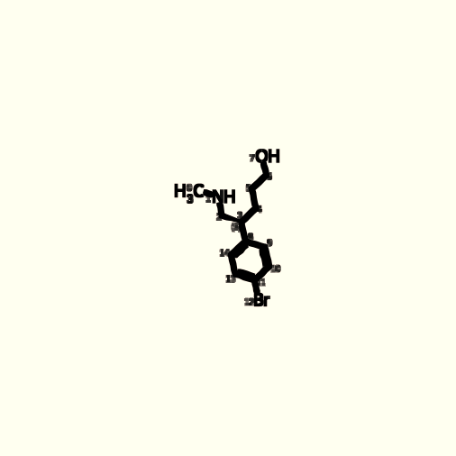 CNC[C@@H](CCCO)c1ccc(Br)cc1